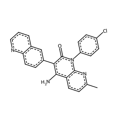 Cc1ccc2c(N)c(-c3ccc4ncccc4c3)c(=O)n(-c3ccc(Cl)cc3)c2n1